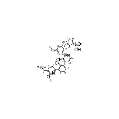 CNCc1ccc(-c2cccc(-c3ccnc(-c4cc(CN5CC[C@@H](C(=O)O)C5)cc(OC)c4)c3Cl)c2Cl)nc1OC